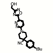 CC(C)(C)c1ccc(C2(C#N)CCN(c3ccc(-c4nc(CO)no4)nn3)CC2)cc1